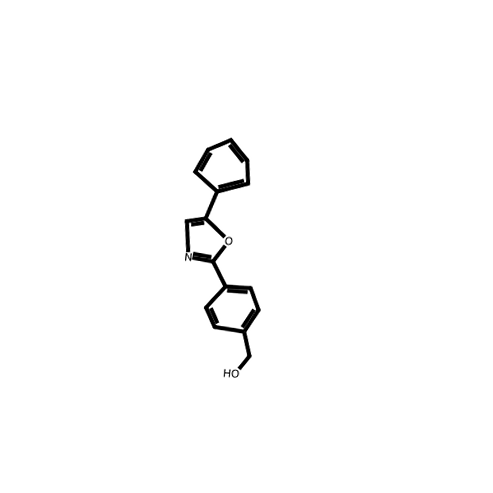 OCc1ccc(-c2ncc(-c3ccccc3)o2)cc1